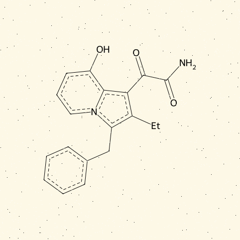 CCc1c(C(=O)C(N)=O)c2c(O)cccn2c1Cc1ccccc1